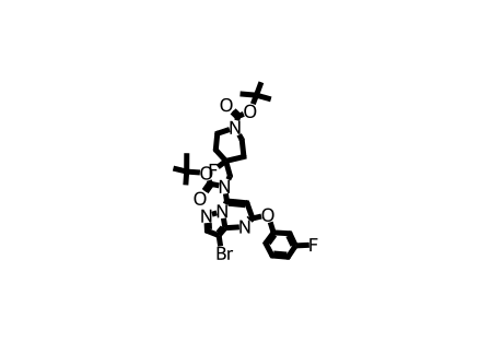 CC(C)(C)OC(=O)N1CCC(F)(CN(C(=O)OC(C)(C)C)c2cc(Oc3cccc(F)c3)nc3c(Br)cnn23)CC1